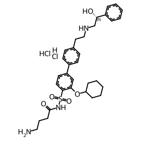 Cl.Cl.NCCCC(=O)NS(=O)(=O)c1ccc(-c2ccc(CCNC[C@H](O)c3ccccc3)cc2)cc1OC1CCCCC1